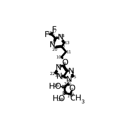 C[C@H]1O[C@@H](n2cnc3c(OCCc4cnc(C(F)F)nc4)ncnc32)[C@H](O)[C@@H]1O